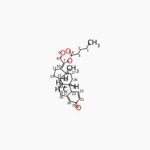 CCCCC(=O)OC(C=O)=C1CC[C@H]2[C@@H]3CCC4=CC(=O)C=C[C@]4(C)[C@H]3CC[C@]12C